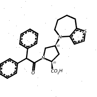 O=C(O)[C@@H]1C[C@H](N2CCCCc3sccc32)CN1C(=O)C(c1ccccc1)c1ccccc1